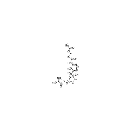 CC(C)(C)C(=O)OCOC(=O)Nc1ncnn2c([C@@]3(C#N)CC[C@@H](COC(=O)C(N)C(C)(C)C)O3)ccc12